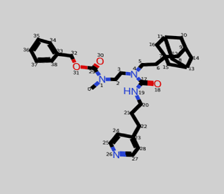 CN(CCN(CCC12CC3CC(CC(C3)C1)C2)C(=O)NCCCc1ccncc1)C(=O)OCc1ccccc1